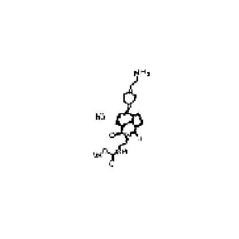 CC(C)(C)OC(=O)NCCN1C(=O)c2cccc3c(N4CCN(CCN)CC4)ccc(c23)C1=O.Cl